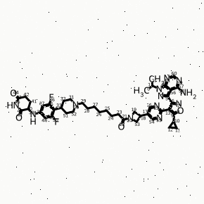 CC(C)n1nc(-c2noc(C3CC3)c2-c2ncc(C3CN(C(=O)CCCCCCCN4CCC(c5c(F)cc(NC6CCC(=O)NC6=O)cc5F)CC4)C3)cn2)c2c(N)ncnc21